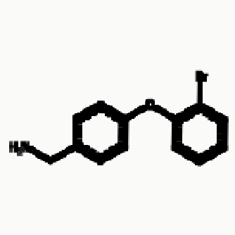 NCc1ccc(Oc2ccccc2Br)cc1